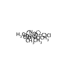 COc1ccnc(C(=O)N[C@@H](C)C(=O)OC(C)C2(c3ccc(Cl)cc3)CCCCC2)c1OC(C)=O